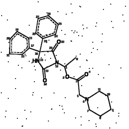 CC(OC(=O)CN1CCCCC1)N1C(=O)NC(c2ccccc2)(c2ccccc2)C1=O